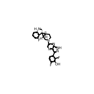 NC[C@]1(c2ccccc2F)[C@@H]2CCN(c3cnc4c(-c5ccc(F)c(O)c5F)n[nH]c4n3)C[C@@H]21